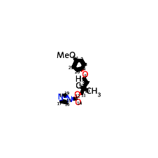 COc1ccc(OCCC(C)(C)COC(=O)n2ccnc2)cc1